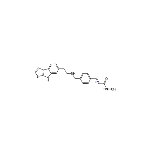 O=C(/C=C/c1ccc(CNCCc2ccc3c(c2)[nH]c2sccc23)cc1)NO